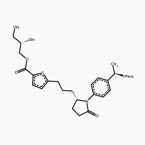 CCCCC[C@H](C)c1ccc(N2C(=O)CC[C@@H]2CCCc2ccc(C(=O)OC[C@@H](O)CO)s2)cc1